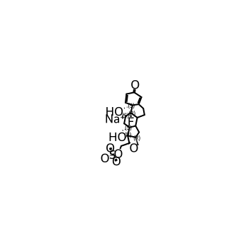 C[C@@H]1CC2C3CCC4=CC(=O)C=C[C@]4(C)[C@@]3(F)[C@@H](O)C[C@]2(C)[C@@]1(O)C(=O)COS(=O)(=O)[O-].[Na+]